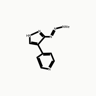 CNN=Nc1n[nH]cc1-c1ccncc1